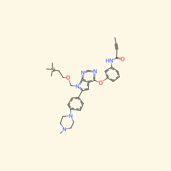 CC#CC(=O)Nc1cccc(Oc2ncnc3c2cc(-c2ccc(N4CCN(C)CC4)cc2)n3COCC[Si](C)(C)C)c1